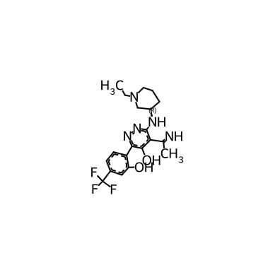 CCN1CCC[C@@H](Nc2nnc(-c3ccc(C(F)(F)F)cc3O)c(O)c2C(C)=N)C1